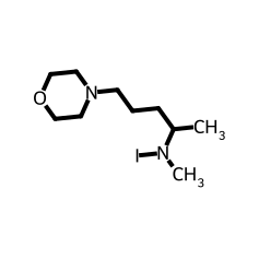 CC(CCCN1CCOCC1)N(C)I